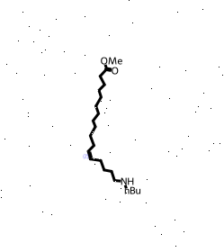 CCCCNCCCC/C=C\CCCCCCCCCCC(=O)OC